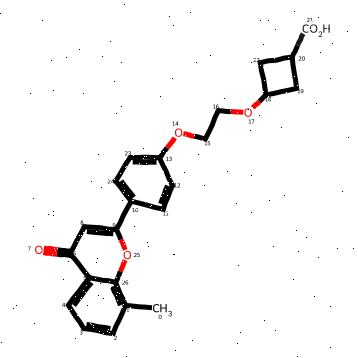 Cc1cccc2c(=O)cc(-c3ccc(OCCOC4CC(C(=O)O)C4)cc3)oc12